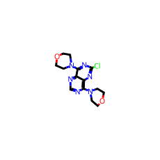 Clc1nc(N2CCOCC2)c2ncnc(N3CCOCC3)c2n1